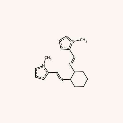 Cn1cccc1C=NC1CCCCC1N=Cc1cccn1C